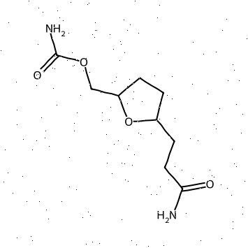 NC(=O)CCC1CCC(COC(N)=O)O1